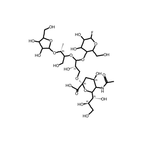 CC(=O)NC1C([C@H](O)[C@H](O)CO)O[C@@](OC[C@H](O)C(OC2C(CO)OC(F)C(O)C2O)OC(CO)[C@@H](C)OC2OC(CO)C(O)C2O)(C(=O)O)C[C@H]1O